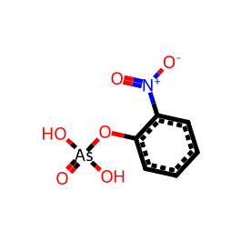 O=[N+]([O-])c1ccccc1O[As](=O)(O)O